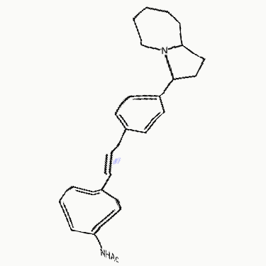 CC(=O)Nc1cccc(/C=C/c2ccc(C3CCC4CCCCN43)cc2)c1